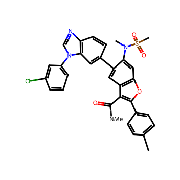 CNC(=O)c1c(-c2ccc(C)cc2)oc2cc(N(C)S(C)(=O)=O)c(-c3ccc4ncn(-c5cccc(Cl)c5)c4c3)cc12